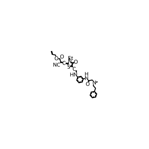 C=CCOC(=O)C(=C=c1sc(=C=CNc2cccc(NC(=O)CN(C)CCc3ccccc3)c2)c(=O)n1CC)C#N